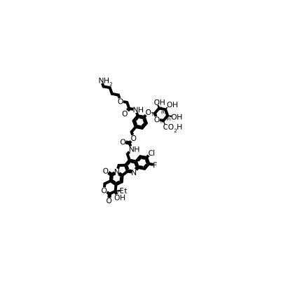 CC[C@@]1(O)C(=O)OCc2c1cc1n(c2=O)Cc2c-1nc1cc(F)c(Cl)cc1c2CNC(=O)OCc1ccc(O[C@H]2O[C@@H](C(=O)O)[C@H](O)[C@@H](O)[C@@H]2O)c(NC(=O)COCCCCN)c1